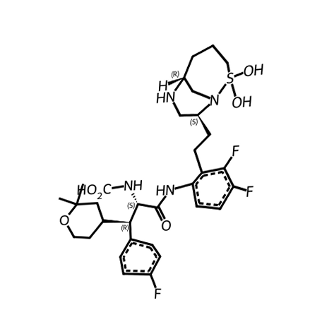 CC1(C)CC([C@H](c2ccc(F)cc2)[C@H](NC(=O)O)C(=O)Nc2ccc(F)c(F)c2CC[C@H]2CN[C@@H]3CCCS(O)(O)N2C3)CCO1